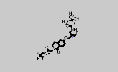 CC(C)(C)OC(=O)NC/C(=C\F)COc1ccc2c(c1)CCN(CC(=O)NCC(F)(F)F)C2=O